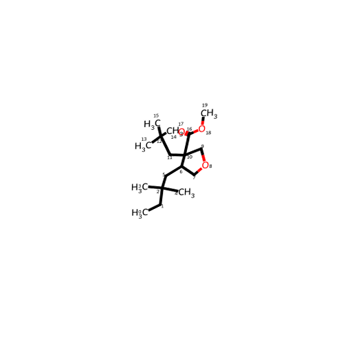 CCC(C)(C)CC1COCC1(CC(C)(C)C)C(=O)OC